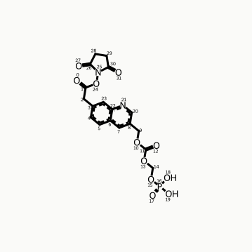 O=C(Cc1ccc2cc(COC(=O)OCOP(=O)(O)O)cnc2c1)ON1C(=O)CCC1=O